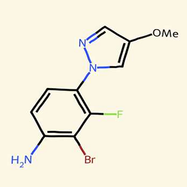 COc1cnn(-c2ccc(N)c(Br)c2F)c1